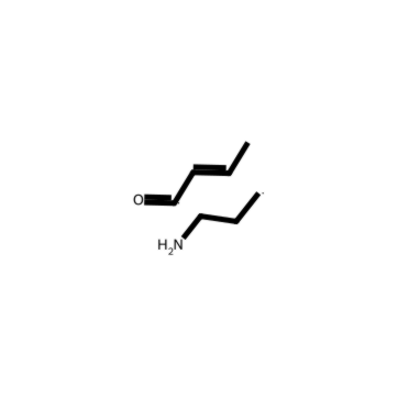 CC=C[C]=O.[CH2]CCN